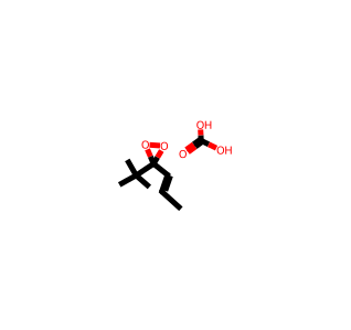 CC=CC1(C(C)(C)C)OO1.O=C(O)O